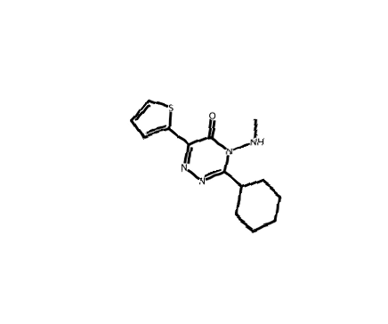 CNn1c(C2CCCCC2)nnc(-c2cccs2)c1=O